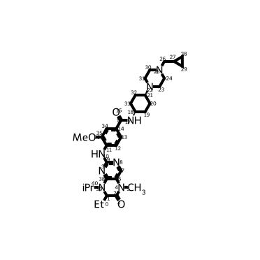 CCC1C(=O)N(C)c2cnc(Nc3ccc(C(=O)N[C@H]4CC[C@H](N5CCN(CC6CC6)CC5)CC4)cc3OC)nc2N1C(C)C